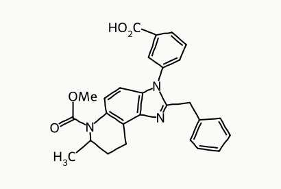 COC(=O)N1c2ccc3c(nc(Cc4ccccc4)n3-c3cccc(C(=O)O)c3)c2CCC1C